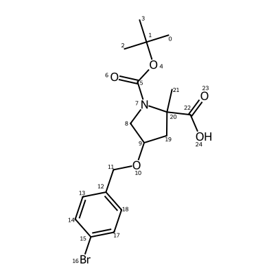 CC(C)(C)OC(=O)N1CC(OCc2ccc(Br)cc2)CC1(C)C(=O)O